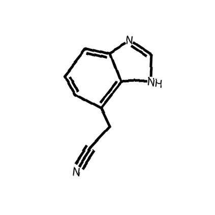 N#CCc1cccc2nc[nH]c12